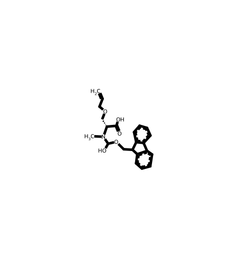 C=CCOC[C@H](C(=O)O)N(C)C(O)OCC1c2ccccc2-c2ccccc21